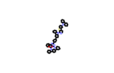 c1ccc2c(c#1)c1cc(-c3ccc(-c4nc(-c5ccccc5)nc(-n5c6ccccc6c6ccc7c8ccccc8n(-c8ccccc8)c7c65)n4)cc3)ccc1n2-c1nccc2c1sc1ccc(-n3c4ccccc4c4ccccc43)cc12